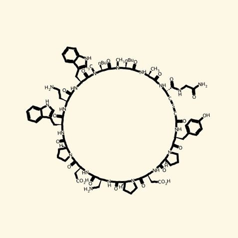 CCCC[C@H]1C(=O)N(C)[C@@H](CCCC)C(=O)N[C@@H](C)C(=O)N[C@H](C(=O)NCC(N)=O)CSCC(=O)N[C@@H](Cc2ccc(O)cc2)C(=O)N2CCC[C@H]2C(=O)N[C@@H](CC(=O)O)C(=O)N2CCC[C@H]2C(=O)N[C@@H](CN)C(=O)N[C@@H](CC(=O)O)C(=O)N2CCC[C@H]2C(=O)N[C@@H](Cc2c[nH]c3ccccc23)C(=O)N[C@@H](CCN)C(=O)N[C@@H](Cc2c[nH]c3ccccc23)C(=O)N1C